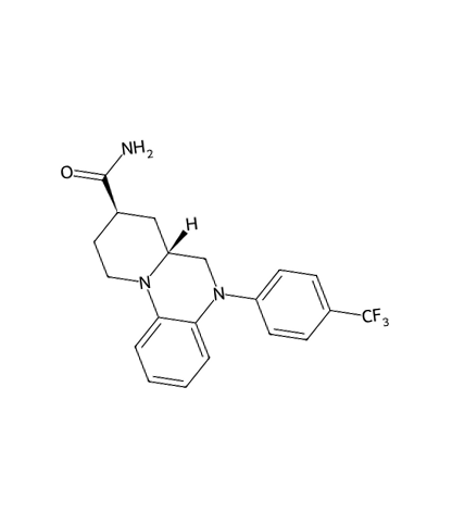 NC(=O)[C@@H]1CCN2c3ccccc3N(c3ccc(C(F)(F)F)cc3)C[C@H]2C1